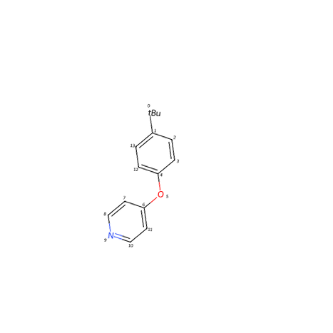 CC(C)(C)c1ccc(Oc2ccncc2)cc1